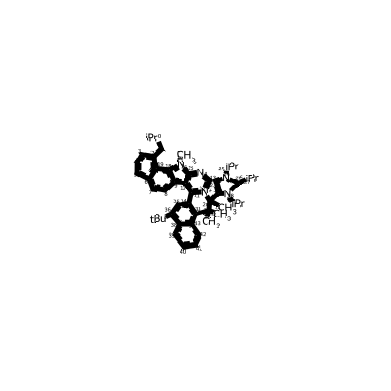 CC(C)Cc1cccc2ccc3c4c5[n+](cnc4n(C)c3c12)C(C)(C1=CN(C(C)C)C(C(C)C)N1C(C)C)C(C)(C)c1c-5cc(C(C)(C)C)c2ccccc12